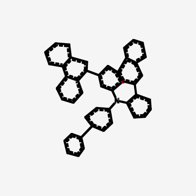 c1ccc(-c2ccc(N(c3cccc(-c4cc5ccccc5c5ccccc45)c3)c3ccccc3-c3ccc4ccccc4c3)cc2)cc1